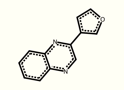 c1ccc2nc(-c3ccoc3)cnc2c1